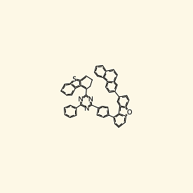 C1=c2sc3ccccc3c2=C(c2nc(-c3ccccc3)nc(-c3ccc(-c4cccc5oc6ccc(-c7ccc8c(ccc9ccccc98)c7)cc6c45)cc3)n2)CC1